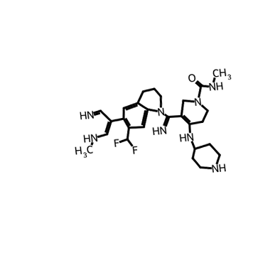 CN/C=C(\C=N)c1cc2c(cc1C(F)F)N(C(=N)C1=C(NC3CCNCC3)CCN(C(=O)NC)C1)CCC2